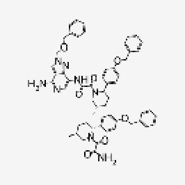 C[C@H]1CC[C@H](c2ccc(OCc3ccccc3)cc2)N(C(=O)C(=O)Nc2cnc(N)c3cn(COCc4ccccc4)nc23)C1.C[C@H]1CC[C@H](c2ccc(OCc3ccccc3)cc2)N(C(=O)C(N)=O)C1